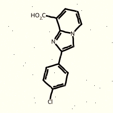 O=C(O)c1cccn2cc(-c3ccc(Cl)cc3)nc12